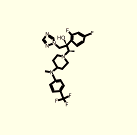 C[C@@H](N1CCC(N(C)c2ccc(C(F)(F)F)cc2)CC1)[C@](O)(Cn1cncn1)c1ccc(F)cc1F